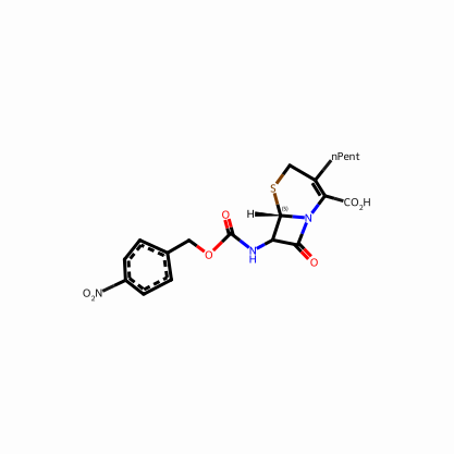 CCCCCC1=C(C(=O)O)N2C(=O)C(NC(=O)OCc3ccc([N+](=O)[O-])cc3)[C@@H]2SC1